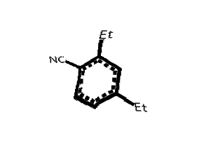 CCc1ccc(C#N)c(CC)c1